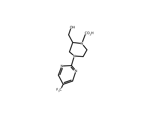 O=C(O)N1CCN(c2ncc(C(F)(F)F)cn2)CC1CO